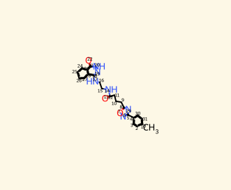 Cc1ccc(-c2noc(CCCC(=O)NCCNc3n[nH]c(=O)c4ccccc34)n2)cc1